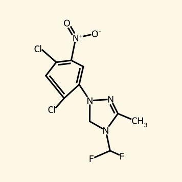 CC1=NN(c2cc([N+](=O)[O-])c(Cl)cc2Cl)CN1C(F)F